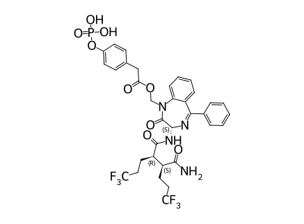 NC(=O)[C@@H](CCC(F)(F)F)[C@@H](CCC(F)(F)F)C(=O)N[C@H]1N=C(c2ccccc2)c2ccccc2N(COC(=O)Cc2ccc(OP(=O)(O)O)cc2)C1=O